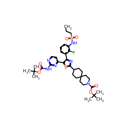 CCCS(=O)(=O)Nc1cccc(-c2nc(C3CCC4(CC3)CCN(C(=O)OC(C)(C)C)CC4)sc2-c2ccnc(NC(=O)OC(C)(C)C)n2)c1F